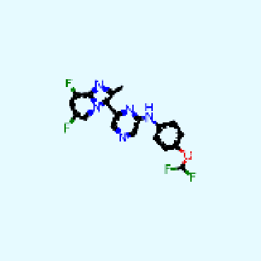 Cc1nc2c(F)cc(F)cn2c1-c1cncc(Nc2ccc(OC(F)F)cc2)n1